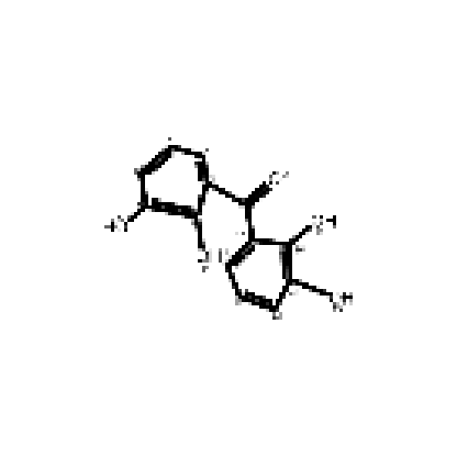 O=C(c1cccc(O)c1O)c1cccc(O)c1O